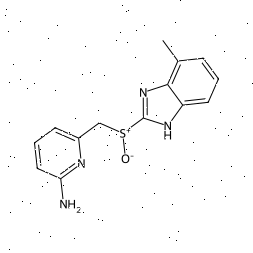 Cc1cccc2[nH]c([S+]([O-])Cc3cccc(N)n3)nc12